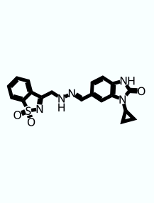 O=c1[nH]c2ccc(/C=N/NCC3=NS(=O)(=O)c4ccccc43)cc2n1C1CC1